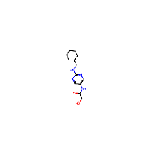 O=C(CO)Nc1cnc(NCC2CCCCC2)nc1